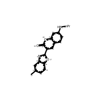 CCCNc1ccc2cc(-c3nc4cc(C)ccc4o3)c(=O)oc2c1